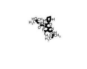 CCC(C)(C)Nc1cc(C(F)F)c(-c2sc(C(=O)NCC(C)(C)O)nc2C(=O)N2[C@H]3CC[C@H]2CC3)cn1